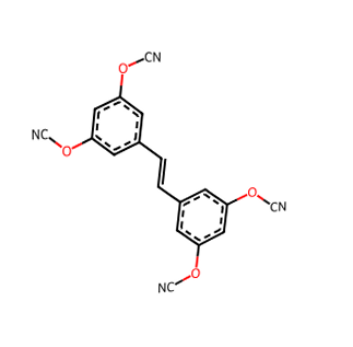 N#COc1cc(C=Cc2cc(OC#N)cc(OC#N)c2)cc(OC#N)c1